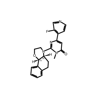 Cn1c(N2CCO[C@H]3c4ccccc4CC[C@H]32)nc(-c2ccncc2F)cc1=O